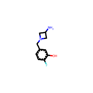 NC1CN(Cc2ccc(F)c(O)c2)C1